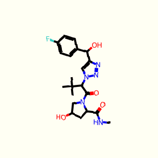 CNC(=O)C1CC(O)CN1C(=O)C(n1cc(C(O)c2ccc(F)cc2)nn1)C(C)(C)C